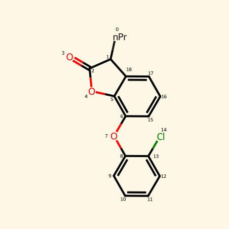 CCCC1C(=O)Oc2c(Oc3ccccc3Cl)cccc21